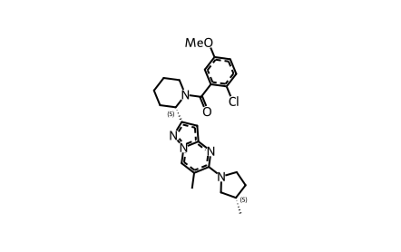 COc1ccc(Cl)c(C(=O)N2CCCC[C@H]2c2cc3nc(N4CC[C@H](C)C4)c(C)cn3n2)c1